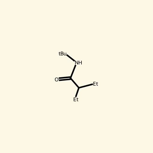 CCC(CC)C(=O)NC(C)(C)C